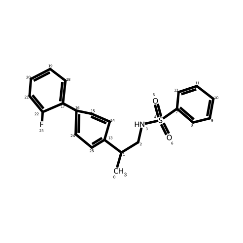 CC(CNS(=O)(=O)c1ccccc1)c1ccc(-c2ccccc2F)cc1